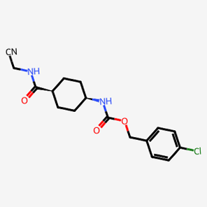 N#CCNC(=O)[C@H]1CC[C@@H](NC(=O)OCc2ccc(Cl)cc2)CC1